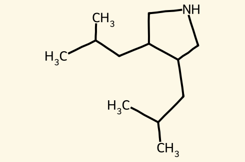 CC(C)CC1CNCC1CC(C)C